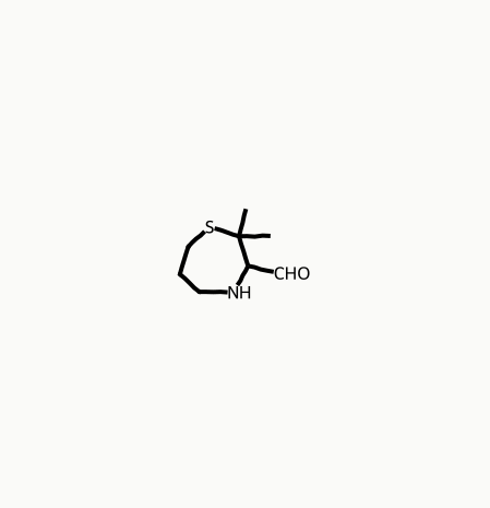 CC1(C)SCCCNC1C=O